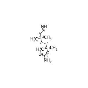 CC(C)(CC=N)CCC(C)(C)OC(N)=O